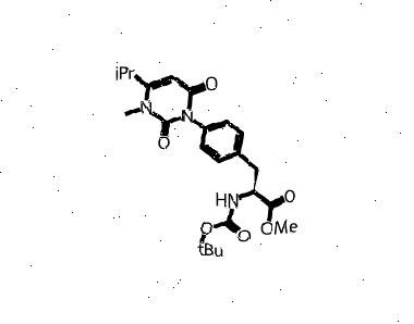 COC(=O)[C@H](Cc1ccc(-n2c(=O)cc(C(C)C)n(C)c2=O)cc1)NC(=O)OC(C)(C)C